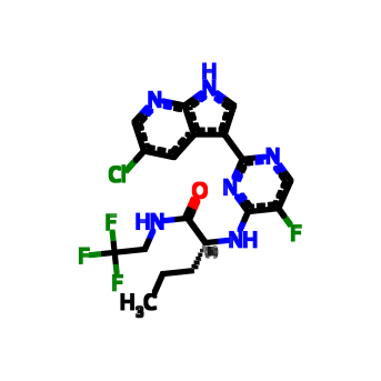 CCC[C@@H](Nc1nc(-c2c[nH]c3ncc(Cl)cc23)ncc1F)C(=O)NCC(F)(F)F